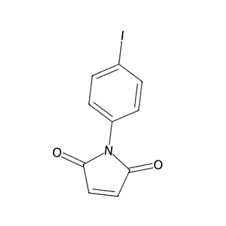 O=C1C=CC(=O)N1c1ccc(I)cc1